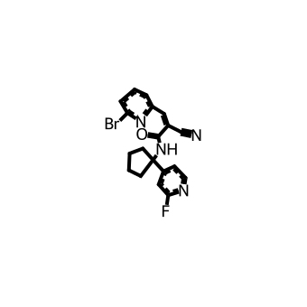 N#CC(=Cc1cccc(Br)n1)C(=O)NC1(c2ccnc(F)c2)CCCC1